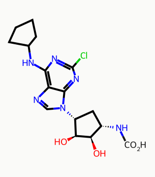 O=C(O)N[C@H]1C[C@@H](n2cnc3c(NC4CCCC4)nc(Cl)nc32)[C@H](O)[C@@H]1O